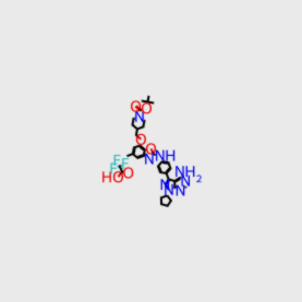 Cc1cc(OCC2CCN(C(=O)OC(C)(C)C)CC2)c2oc(Nc3ccc(-c4nn(C5CCCC5)c5ncnc(N)c45)cc3)nc2c1.O=C(O)C(F)(F)F